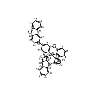 c1ccc2c(c1)Oc1cc(-c3ccc4oc5ccccc5c4c3)ccc1C21c2ccccc2-n2c3ccccc3c3cccc1c32